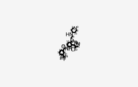 CN1CCC(NCCOc2ccc(NC(=O)c3cccc(C(F)(F)F)c3)cc2-c2c(Cl)cnn2C)CC1